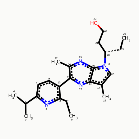 CCc1nc(C(C)C)ccc1-c1nc2c(C)cn([C@@H](CC)CCO)c2nc1C